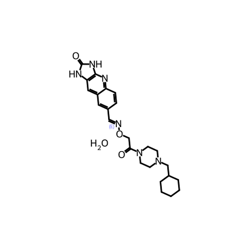 O.O=C(CO/N=C/c1ccc2nc3[nH]c(=O)[nH]c3cc2c1)N1CCN(CC2CCCCC2)CC1